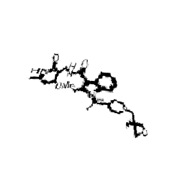 COc1cc(C)[nH]c(=O)c1CNC(=O)c1c(C)n([C@H](C)C2CCN(CC3(C)COC3)CC2)c2ccccc12